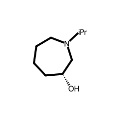 CC(C)N1CCCC[C@@H](O)C1